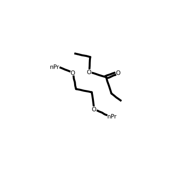 CCCOCCOCCC.CCOC(=O)CC